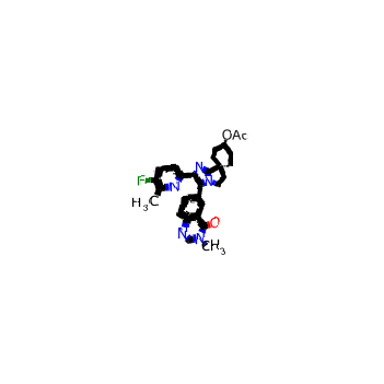 CC(=O)O[C@H]1CC[C@@]2(CCn3c(-c4ccc5ncn(C)c(=O)c5c4)c(-c4ccc(F)c(C)n4)nc32)CC1